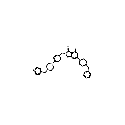 Cc1cc(N2CCN(Cc3ccncc3)CC2)cc2c1C(=O)N(Cc1ccc(N3CCN(Cc4ccncc4)CC3)cc1)C2